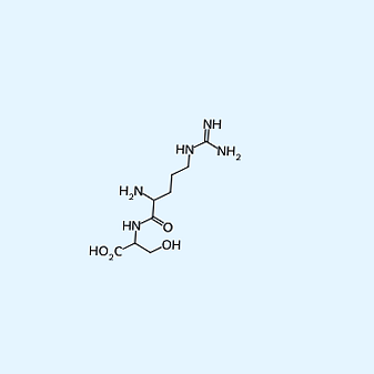 N=C(N)NCCCC(N)C(=O)NC(CO)C(=O)O